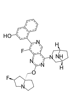 Oc1cc(-c2ncc3c(N4C[C@H]5CC[C@@H](C4)N5)nc(OC[C@]45CCCN4C[C@@H](F)C5)nc3c2F)c2ccccc2c1